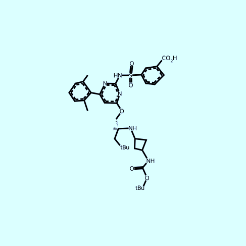 Cc1cccc(C)c1-c1cc(OC[C@@H](CC(C)(C)C)NC2CC(NC(=O)OC(C)(C)C)C2)nc(NS(=O)(=O)c2cccc(C(=O)O)c2)n1